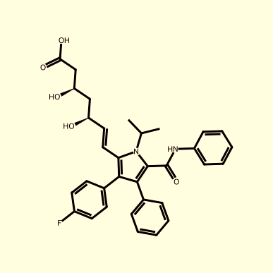 CC(C)n1c(/C=C/[C@@H](O)C[C@@H](O)CC(=O)O)c(-c2ccc(F)cc2)c(-c2ccccc2)c1C(=O)Nc1ccccc1